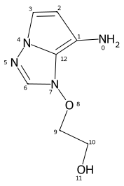 Nc1ccn2ncn(OCCO)c12